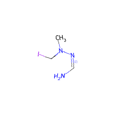 CN(CI)/N=C\N